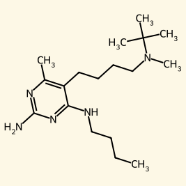 CCCCNc1nc(N)nc(C)c1CCCCN(C)C(C)(C)C